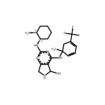 CC1(Nc2nc(N[C@@H]3CCCC[C@@H]3N)nc3c2C(O)NC3)C=CC=C(C(F)(F)F)C1